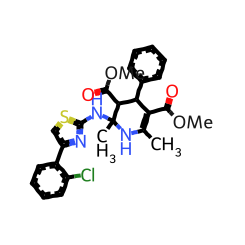 COC(=O)C1=C(C)NC(C)(Nc2nc(-c3ccccc3Cl)cs2)C(C(=O)OC)C1c1ccccc1